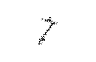 CC(C)CCOC(=O)CCCCCCCCCCCCC(CCC(=O)OCCC(C)C)C(C)C